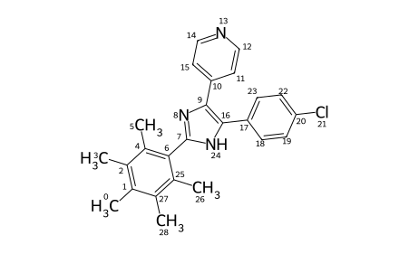 Cc1c(C)c(C)c(-c2nc(-c3ccncc3)c(-c3ccc(Cl)cc3)[nH]2)c(C)c1C